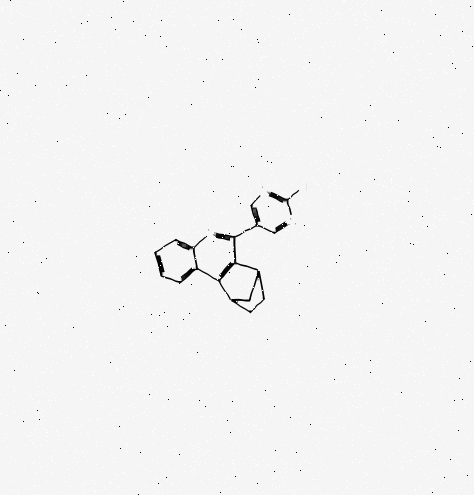 CC(C)(C)c1ncc(-c2nc3ccccc3c3c2C2CCC3C2)cn1